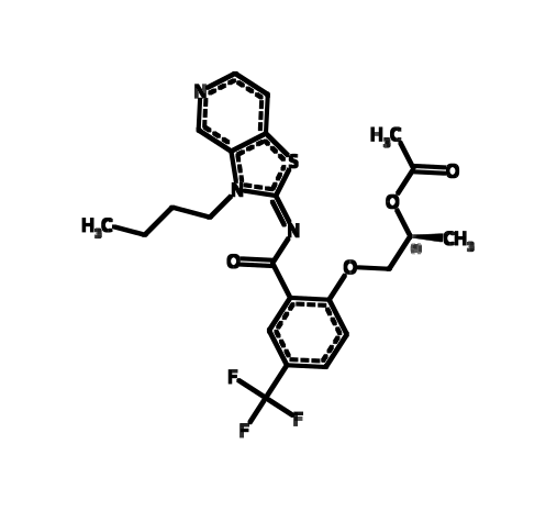 CCCCn1c(=NC(=O)c2cc(C(F)(F)F)ccc2OC[C@H](C)OC(C)=O)sc2ccncc21